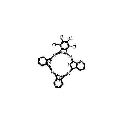 Clc1c(Cl)c(Cl)c2c(c1Cl)-c1nc3nc(nc4[nH]c(nc5[nH]c(nc-2n1)c1ccccc51)c1ccccc41)-c1cccnc1-3